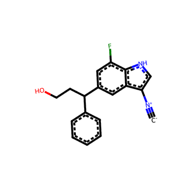 [C-]#[N+]c1c[nH]c2c(F)cc(C(CCO)c3ccccc3)cc12